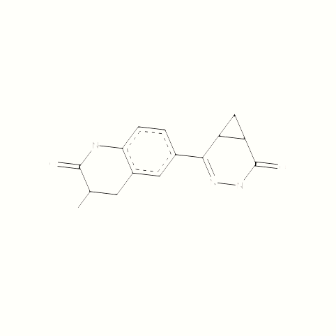 CC1Cc2cc(C3=NNC(=O)C4CC34)ccc2NC1=O